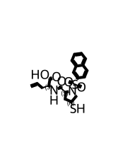 C=CC[C@H](NC(=O)[C@@H]1C[C@@H](S)CN1S(=O)(=O)c1ccc2ccccc2c1)C(=O)O